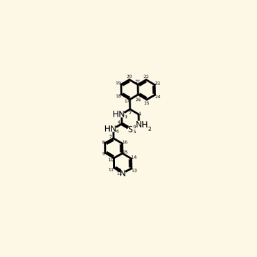 NCC(NC(=S)Nc1ccc2cnccc2c1)c1cccc2ccccc12